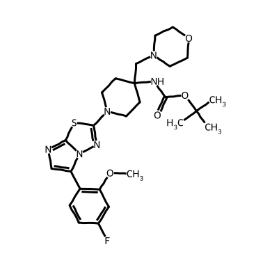 COc1cc(F)ccc1-c1cnc2sc(N3CCC(CN4CCOCC4)(NC(=O)OC(C)(C)C)CC3)nn12